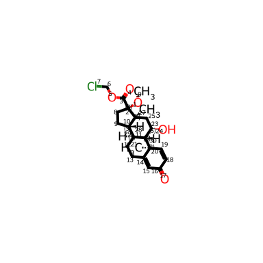 CO[C@]1(C(=O)OCCl)CC[C@H]2[C@@H]3CCC4=CC(=O)C=C[C@]4(C)[C@H]3[C@@H](O)C[C@@]21C